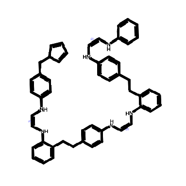 C1=CC(Cc2ccc(N/C=C\Nc3ccccc3CCc3ccc(N/C=C\Nc4ccccc4CCc4ccc(N/C=C\Nc5ccccc5)cc4)cc3)cc2)C=C1